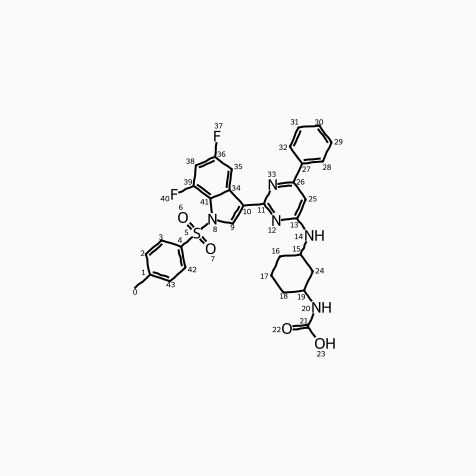 Cc1ccc(S(=O)(=O)n2cc(-c3nc(NC4CCCC(NC(=O)O)C4)cc(-c4ccccc4)n3)c3cc(F)cc(F)c32)cc1